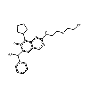 CC(c1ccccc1)c1cc2cnc(NCCOCCO)nc2n(C2CCCC2)c1=O